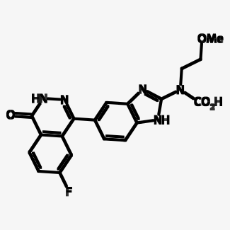 COCCN(C(=O)O)c1nc2cc(-c3n[nH]c(=O)c4ccc(F)cc34)ccc2[nH]1